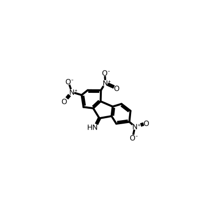 N=C1c2cc([N+](=O)[O-])ccc2-c2c1cc([N+](=O)[O-])cc2[N+](=O)[O-]